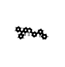 C1=CC(c2cccc(-c3cccc4c3oc3ccccc34)c2)Nc2c1ccc1c(-c3ccccc3)c3ccccc3nc21